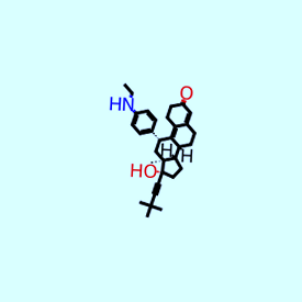 CCNc1ccc([C@H]2C[C@@]3(C)[C@@H](CC[C@@]3(O)C#CC(C)(C)C)[C@@H]3CCC4=CC(=O)CCC4=C32)cc1